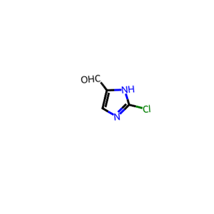 O=Cc1cnc(Cl)[nH]1